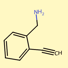 C#Cc1ccccc1CN